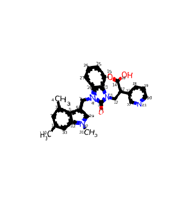 Cc1cc(C)c2c(Cn3c(=O)n(CC(C(=O)O)c4cccnc4)c4ccccc43)cn(C)c2c1